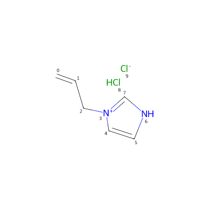 C=CC[n+]1cc[nH]c1.Cl.[Cl-]